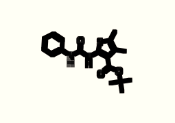 Cc1sc(NC(=O)Nc2ccccc2)c(C(=O)OC(C)(C)C)c1C